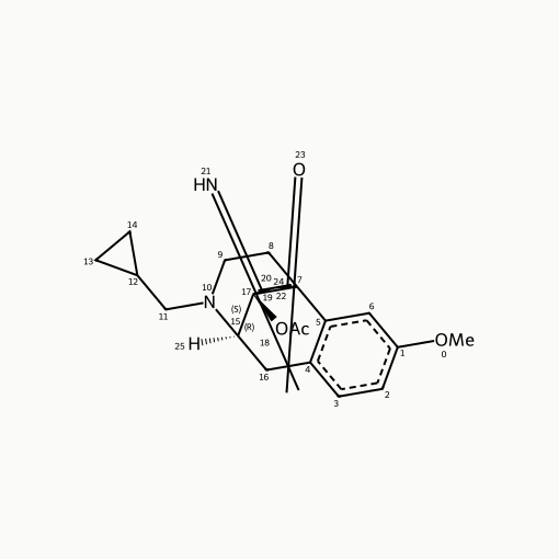 COc1ccc2c(c1)C13CCN(CC4CC4)[C@H](C2)[C@]1(OC(C)=O)CC(=N)C(=O)C3